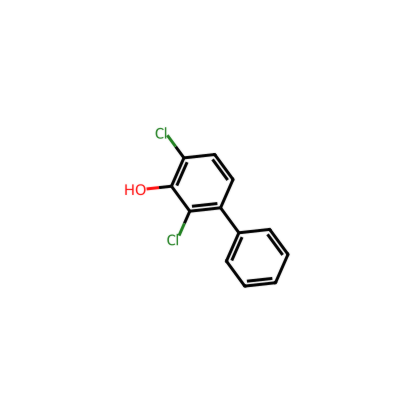 Oc1c(Cl)ccc(-c2ccccc2)c1Cl